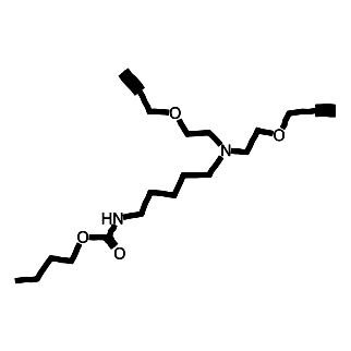 C#CCOCCN(CCCCCNC(=O)OCCCC)CCOCC#C